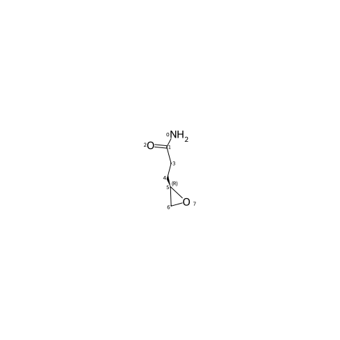 NC(=O)CC[C@@H]1CO1